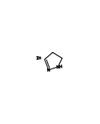 C1=NNCC1.[Zn]